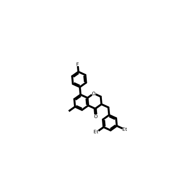 CCc1cc(CC)cc(CC2COc3c(cc(C)cc3-c3ccc(F)cc3)C2=O)c1